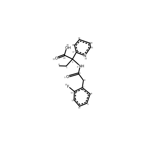 CCC(NC(=O)Cc1ccccc1F)(C(=O)O)c1ccccn1